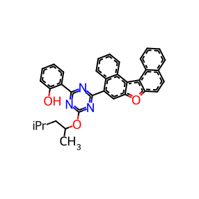 CC(C)CC(C)Oc1nc(-c2ccccc2O)nc(-c2cc3oc4ccc5ccccc5c4c3c3ccccc23)n1